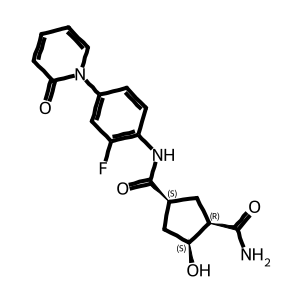 NC(=O)[C@@H]1C[C@H](C(=O)Nc2ccc(-n3ccccc3=O)cc2F)C[C@@H]1O